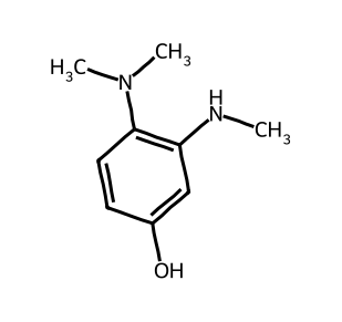 CNc1cc(O)ccc1N(C)C